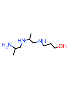 CC(N)CNC(C)CNCCCO